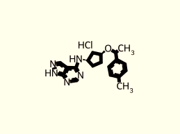 Cc1ccc(C(C)O[C@H]2CC[C@H](Nc3ncnc4[nH]ncc34)C2)cc1.Cl